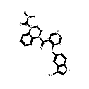 CCOC(=O)c1coc2ccc(Oc3ccncc3C(=O)N3CCN(C(=O)N(C)C)c4ccccc43)cc12